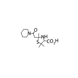 CC1(CC(=O)N2CCCCC2)NC(C(=O)O)C(C)(C)S1